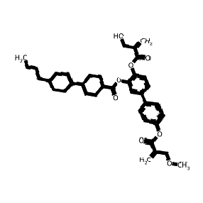 C=C(COC)C(=O)Oc1ccc(-c2ccc(OC(=O)C(=C)CO)c(OC(=O)C3CCC(C4CCC(CCCC)CC4)CC3)c2)cc1